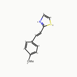 COc1ccc(C=Cc2nccs2)cc1